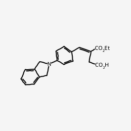 CCOC(=O)C(=Cc1ccc(N2Cc3ccccc3C2)cc1)CC(=O)O